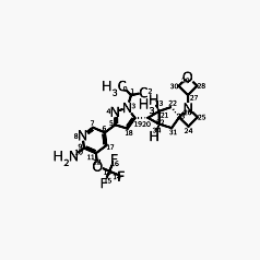 CC(C)n1nc(-c2cnc(N)c(OC(F)(F)F)c2)cc1[C@@H]1[C@@H]2C[C@]3(CCN3C3COC3)C[C@@H]21